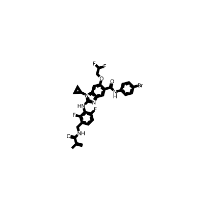 C=C(C)C(=O)NCc1ccc(F)c(Nc2nc3cc(C(=O)Nc4ccc(Br)cc4)c(OCC(F)F)cc3n2C2CC2)c1F